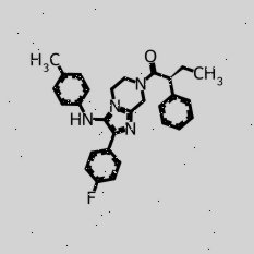 CC[C@H](C(=O)N1CCn2c(nc(-c3ccc(F)cc3)c2Nc2ccc(C)cc2)C1)c1ccccc1